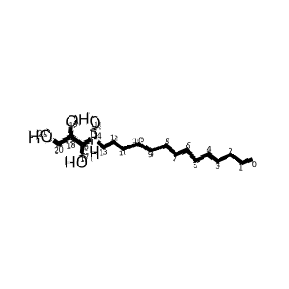 CCCCCCCCCCCCCC[PH](=O)C(O)C(O)CO